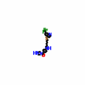 O=C(c1ccc(NCCCCCCSc2ccnc3cc(C(F)(F)F)ccc23)cc1)N1CCNCC1